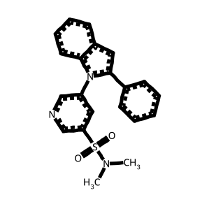 CN(C)S(=O)(=O)c1cncc(-n2c(-c3ccccc3)cc3ccccc32)c1